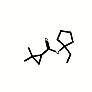 CCC1(OC(=O)C2CC2(C)C)CCCC1